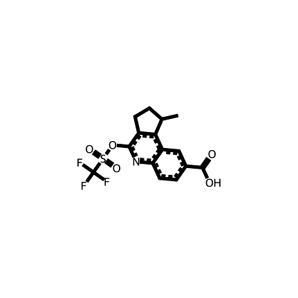 CC1CCc2c(OS(=O)(=O)C(F)(F)F)nc3ccc(C(=O)O)cc3c21